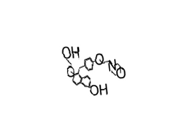 OCCOc1ccc2cc(O)ccc2c1Cc1ccc(OCCN2CCOCC2)cc1